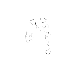 O=C(OC1C[N+]2(CCCOc3ccccc3)CCC1CC2)C(Nc1ccccc1)c1ccccc1.O=C([O-])C(F)(F)F